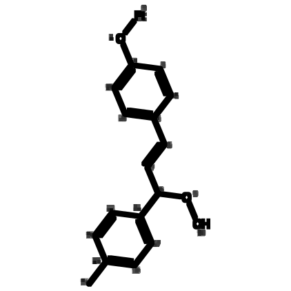 CCOc1ccc(C=CC(OO)c2ccc(C)cc2)cc1